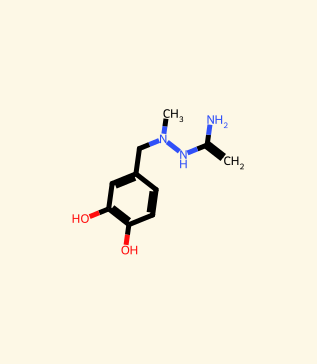 C=C(N)NN(C)Cc1ccc(O)c(O)c1